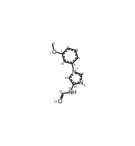 COc1cccc(-n2cnc(NC=O)c2)c1